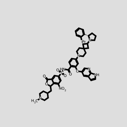 CC(C)c1ccccc1[C@@H]1CCCN1C1CC2(CCN(c3ccc(C(=O)NS(=O)(=O)c4cc5c(c([N+](=O)[O-])c4)C(CC4CCN(C)CC4)OC5=O)c(Oc4cnc5[nH]ccc5c4)c3)CC2)C1